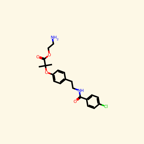 CC(C)(Oc1ccc(CCNC(=O)c2ccc(Cl)cc2)cc1)C(=O)OCCN